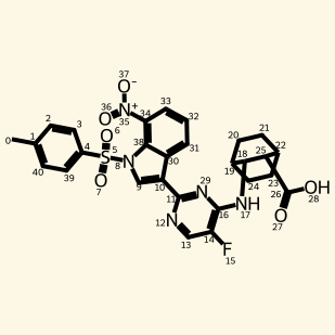 Cc1ccc(S(=O)(=O)n2cc(-c3ncc(F)c(NC4C5CCC(CC5)C4C(=O)O)n3)c3cccc([N+](=O)[O-])c32)cc1